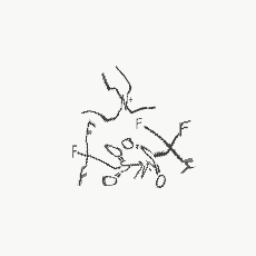 CC[N+](CC)(CC)CC.O=S(=O)([N-]S(=O)(=O)C(F)(F)F)C(F)(F)F